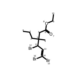 CCCC(C)(CC(=O)OCC)C(Br)C=C(Br)Br